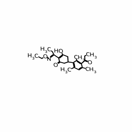 CCON=C(CC)C1=C(O)CC(c2c(C)cc(C)c(C(=O)CC)c2C)CC1=O